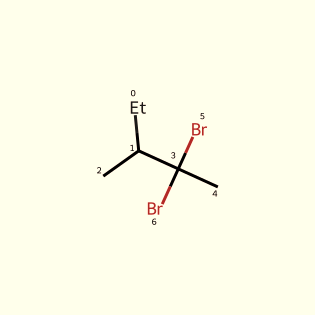 CCC(C)C(C)(Br)Br